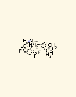 CC(C)(O)c1ncc(-c2ccc3c(c2)C2CC[C@@H](O[C@H](C(F)(F)F)c4cccc(OC(F)F)c42)/C(N)=N/3)cn1